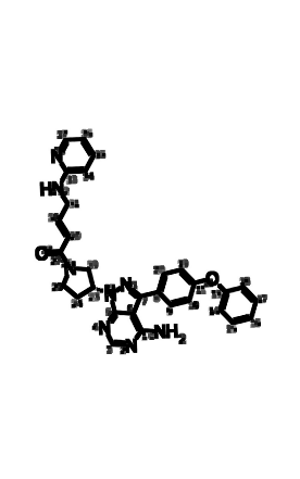 Nc1ncnc2c1c(-c1ccc(Oc3ccccc3)cc1)nn2[C@@H]1CCN(C(=O)C=CCNc2ccccn2)C1